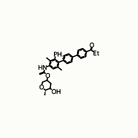 C=C(Nc1cc(C)c(-c2ccc(-c3ccc(C(=O)CC)cc3)cc2)c(P)c1C)OC1CO[C@H](C)C(O)C1